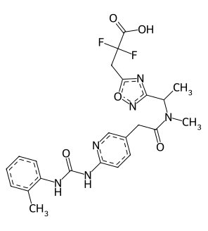 Cc1ccccc1NC(=O)Nc1ccc(CC(=O)N(C)C(C)c2noc(CC(F)(F)C(=O)O)n2)cn1